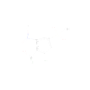 CS(=O)(=O)c1ccc(C(=O)Cl)c([N+](=O)[O-])c1.Cl